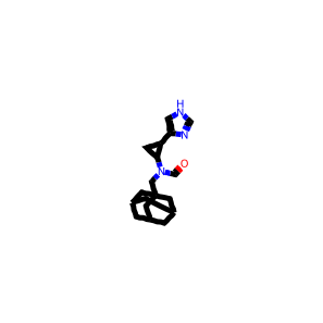 O=CN(CC12CC3CC(CC(C3)C1)C2)C1CC1c1c[nH]cn1